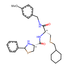 COc1ccc(CNC(=O)[C@H](CSCC2CCCCC2)NC(=O)[C@@H]2CSC(c3ccccc3)N2)cc1